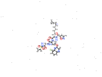 Cc1cc(C(=O)N[C@@H](CCCCC/C=C\C2CC2)C(=O)N2C[C@H](Oc3nc4c(F)cccc4nc3C)C[C@H]2C(=O)NCC(=O)NS(=O)(=O)C2(C)CC2)on1